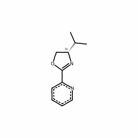 CC(C)[C@H]1COC(c2ccccn2)=N1